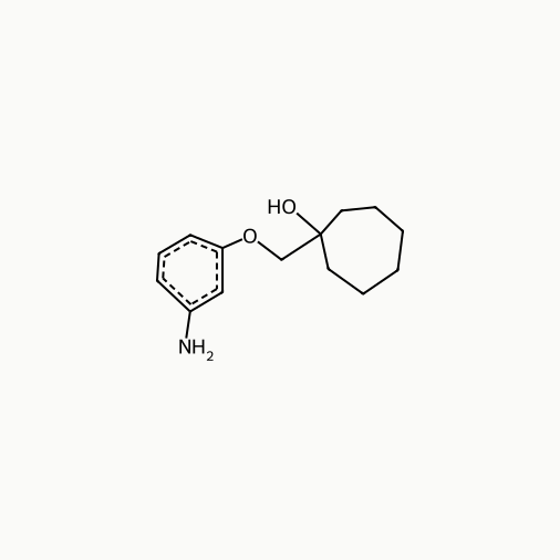 Nc1cccc(OCC2(O)CCCCCC2)c1